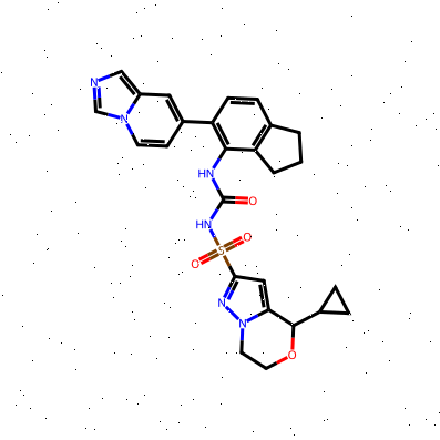 O=C(Nc1c(-c2ccn3cncc3c2)ccc2c1CCC2)NS(=O)(=O)c1cc2n(n1)CCOC2C1CC1